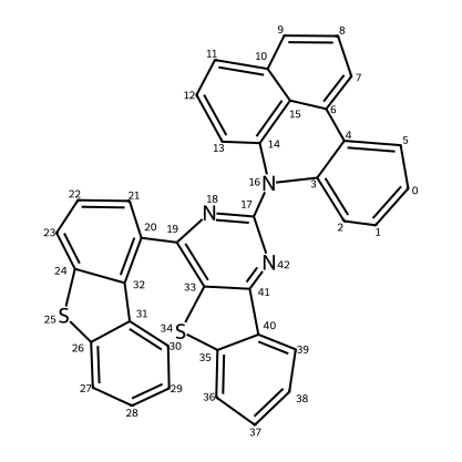 c1ccc2c(c1)-c1cccc3cccc(c13)N2c1nc(-c2cccc3sc4ccccc4c23)c2sc3ccccc3c2n1